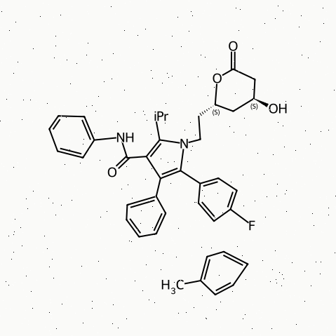 CC(C)c1c(C(=O)Nc2ccccc2)c(-c2ccccc2)c(-c2ccc(F)cc2)n1CC[C@H]1C[C@H](O)CC(=O)O1.Cc1ccccc1